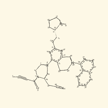 CC#CC(=O)N1CCN(c2nc(OC[C@@H]3CCCN3C)nc3c2CCN(c2nccc4ccccc24)C3)CC1CC#N